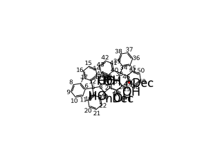 CCCCCCCCCC[C@@](O)(C(O)C(c1ccccc1)(c1ccccc1)c1ccccc1)[C@@H](O)[C@H](O)[C@@](O)(CCCCCCCCCC)C(O)C(c1ccccc1)(c1ccccc1)c1ccccc1